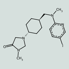 CN1CN([C@H]2CC[C@H](CN(C)c3ccc(I)cn3)CC2)CC1=O